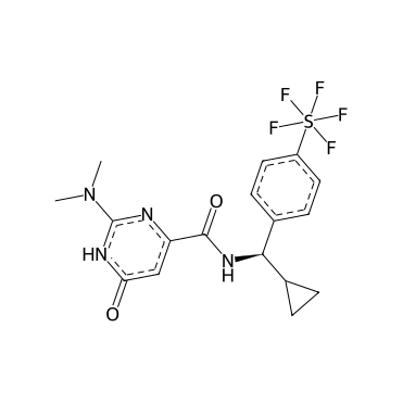 CN(C)c1nc(C(=O)N[C@@H](c2ccc(S(F)(F)(F)(F)F)cc2)C2CC2)cc(=O)[nH]1